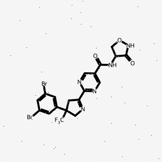 O=C(NC1CONC1=O)c1cnc(C2=NCC(c3cc(Br)cc(Br)c3)(C(F)(F)F)C2)nc1